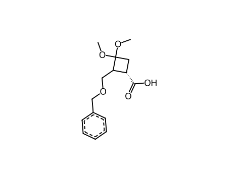 COC1(OC)C[C@H](C(=O)O)C1COCc1ccccc1